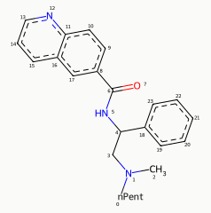 CCCCCN(C)CC(NC(=O)c1ccc2ncccc2c1)c1ccccc1